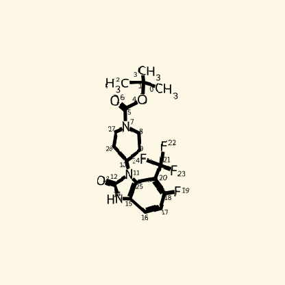 CC(C)(C)OC(=O)N1CCC(n2c(=O)[nH]c3ccc(F)c(C(F)(F)F)c32)CC1